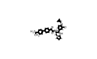 CC(C)c1ccc(-c2ccc(C(=O)C(=O)N[C@H](CN3CCCC3)[C@H](O)c3ccc(OC4CC4)c(Cl)c3)cc2)cc1